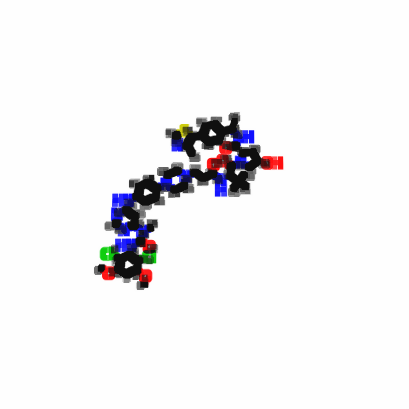 COc1cc(OC)c(Cl)c(NC(=O)N(C)c2cc(Nc3ccc(N4CCN(CCC(=O)N[C@H](C(=O)N5C[C@H](O)C[C@H]5C(=O)N[C@H](C)c5ccc(-c6scnc6C)cc5)C(C)(C)C)CC4)cc3)ncn2)c1Cl